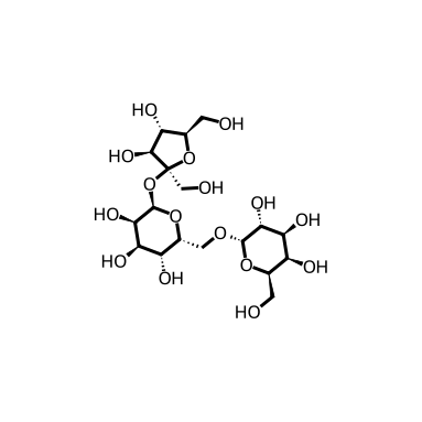 OC[C@H]1O[C@H](OC[C@H]2O[C@H](O[C@]3(CO)O[C@H](CO)[C@@H](O)[C@@H]3O)[C@H](O)[C@H](O)[C@H]2O)[C@H](O)[C@@H](O)[C@H]1O